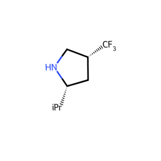 CC(C)[C@H]1C[C@@H](C(F)(F)F)CN1